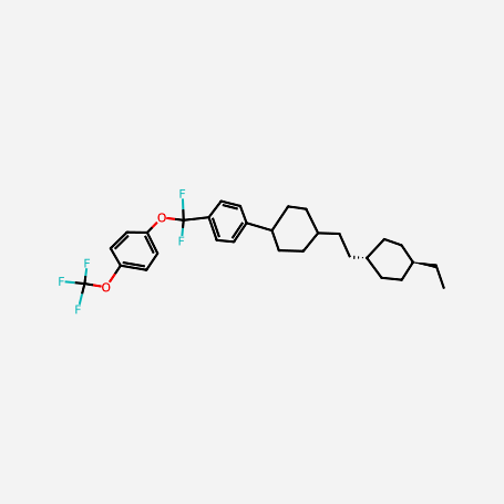 CC[C@H]1CC[C@H](CCC2CCC(c3ccc(C(F)(F)Oc4ccc(OC(F)(F)F)cc4)cc3)CC2)CC1